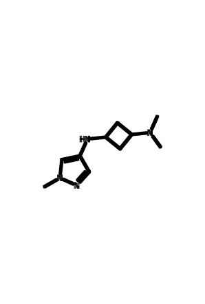 CN(C)C1CC(Nc2cnn(C)c2)C1